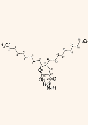 CCCCCCCCCCC(CCCCCCCCCC)CC(C(=O)O)C(=O)O.[NaH]